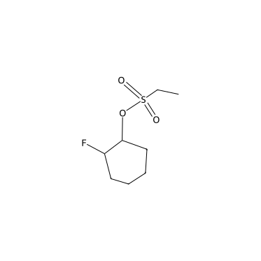 CCS(=O)(=O)OC1CCCCC1F